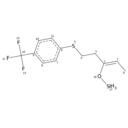 CC=C(CCSc1ccc(C(F)(F)F)cc1)O[SiH3]